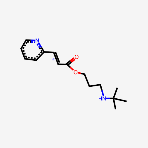 CC(C)(C)NCCCOC(=O)/C=C/c1ccccn1